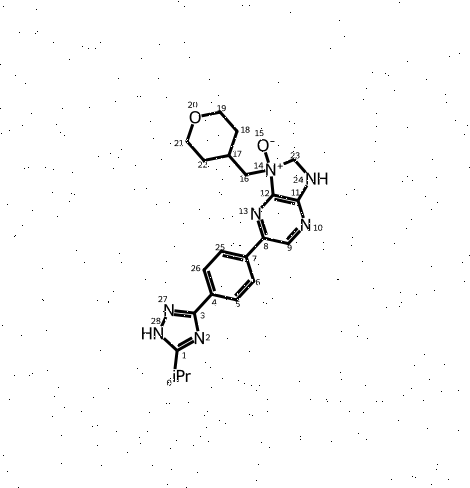 CC(C)c1nc(-c2ccc(-c3cnc4c(n3)[N+]([O-])(CC3CCOCC3)CN4)cc2)n[nH]1